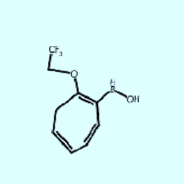 OBC1=C(OCC(F)(F)F)CC=CC=C1